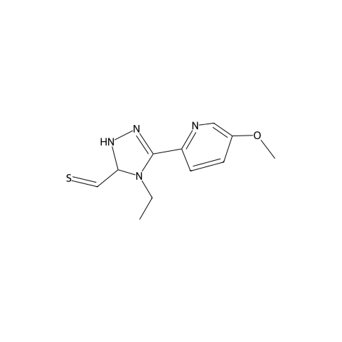 CCN1C(c2ccc(OC)cn2)=NNC1C=S